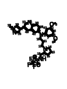 COc1cc(OC)cc(N(CCCN2CCCC2CNS(=O)(=O)C(F)(F)F)c2ccc3ncc(-c4cnn(C)c4)cc3c2)c1